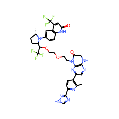 Cc1nc(-c2nc[nH]n2)ccc1-c1cnc2c(n1)N(CCOCCOC(C1CC[C@H](C)N1c1ccc3[nH]c(=O)cc(C(F)(F)F)c3c1)C(F)(F)F)C(=O)CN2